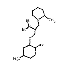 CCN(CC)C(COC1CC(C)CCC1C(C)C)CN1CCCCC1C